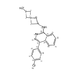 OC1CC2(C1)CC(Nc1nnc(-c3ccc(Cl)cc3)c3ccccc13)C2